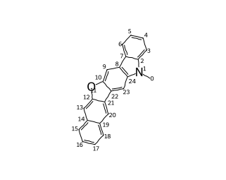 Cn1c2ccccc2c2cc3oc4cc5ccccc5cc4c3cc21